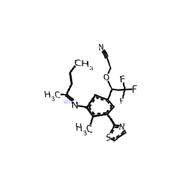 CCC/C(C)=N\c1cc(C(OCC#N)C(F)(F)F)cc(-c2nccs2)c1C